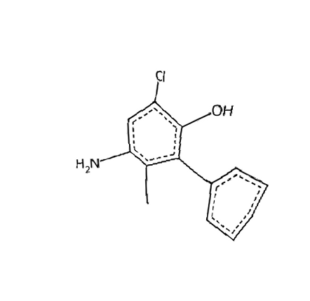 Cc1c(N)cc(Cl)c(O)c1-c1ccccc1